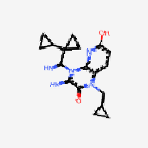 N=C(n1c(=N)c(=O)n(CC2CC2)c2ccc(O)nc21)C1(C2CC2)CC1